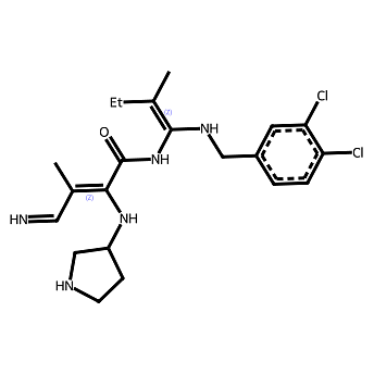 CC/C(C)=C(/NCc1ccc(Cl)c(Cl)c1)NC(=O)/C(NC1CCNC1)=C(\C)C=N